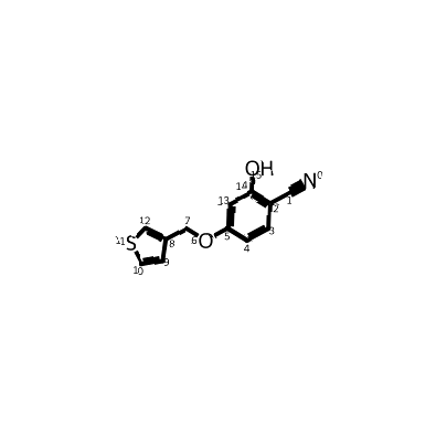 N#Cc1ccc(OCc2ccsc2)cc1O